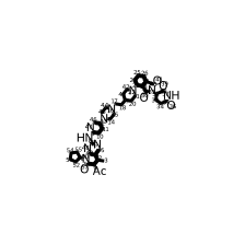 CC(=O)c1c(C)c2cnc(Nc3ccc(N4CCN(CCC5CCN(c6cccc7c6C(=O)N(C6CCC(=O)NC6=O)C7=O)CC5)CC4)cn3)nc2n(C2CCCC2)c1=O